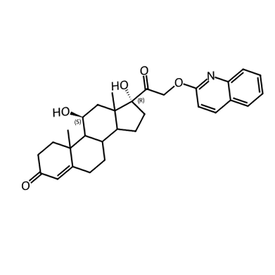 CC12CCC(=O)C=C1CCC1C2[C@@H](O)CC2(C)C1CC[C@]2(O)C(=O)COc1ccc2ccccc2n1